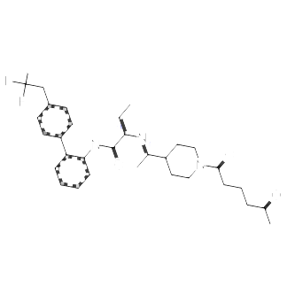 C/C=C(\N=C(/C)C1CCN(C(=O)CCCC(C)=O)CC1)C(=O)Nc1ccccc1-c1ccc(CC(F)(F)F)cc1